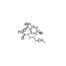 CCCCCC(=O)O.NC(=O)c1ccc(Br)cc1